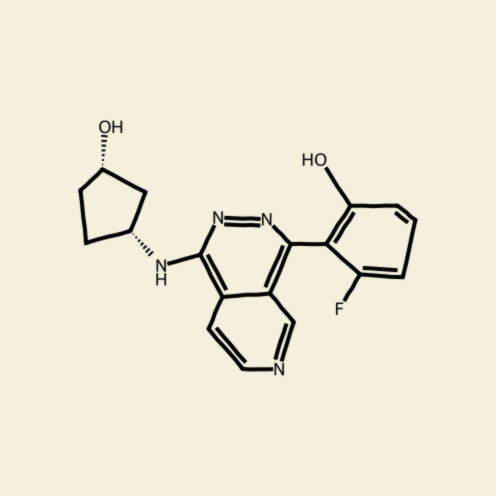 Oc1cccc(F)c1-c1nnc(N[C@@H]2CC[C@H](O)C2)c2ccncc12